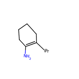 CC(C)C1=C(N)CCCC1